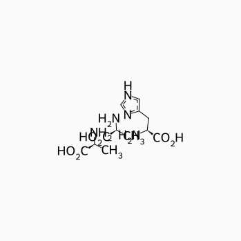 C[C@H](N)C(=O)O.C[C@H](N)C(=O)O.N[C@@H](Cc1c[nH]cn1)C(=O)O